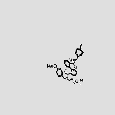 COc1ccc(CN(CCC(=O)O)C(=O)c2ccccc2-c2ccccc2C(=O)NCc2ccc(F)cc2)cc1